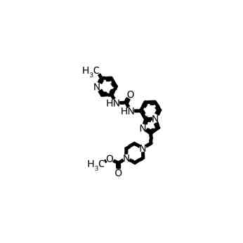 COC(=O)N1CCN(Cc2cn3cccc(NC(=O)Nc4ccc(C)nc4)c3n2)CC1